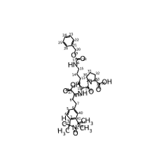 CC1(C)c2ccc(CC[C@H](N[C@@H](CCCCNC(=O)OCc3ccccc3)C(=O)N3CCC[C@H]3C(=O)O)C(=O)O)cc2C(C)(C)[N+]1=O